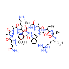 CC[C@H](C)[C@H](NC(=O)[C@H](Cc1ccccc1)NC(=O)[C@H](CCC(=O)O)NC(=O)[C@H](CCCCN)NC(=O)[C@H](C)NC(=O)[C@H](C)NC(=O)[C@@H](N)CCC(N)=O)C(=O)N[C@@H](C)C(=O)N[C@@H](Cc1c[nH]c2ccccc12)C(=O)N[C@@H](CC(C)C)C(=O)N[C@H](C(=O)N[C@@H](CCCNC(=N)N)C(=O)O)C(C)C